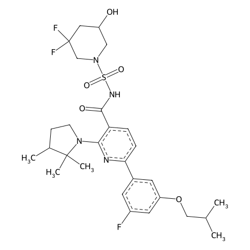 CC(C)COc1cc(F)cc(-c2ccc(C(=O)NS(=O)(=O)N3CC(O)CC(F)(F)C3)c(N3CCC(C)C3(C)C)n2)c1